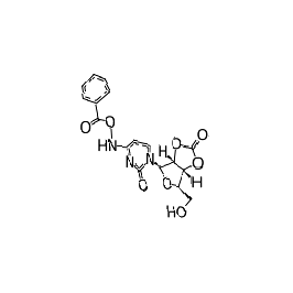 O=C1O[C@@H]2[C@H](O1)[C@@H](CO)O[C@H]2n1ccc(NOC(=O)c2ccccc2)nc1=O